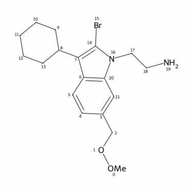 COOCc1ccc2c(C3CCCCC3)c(Br)n(CCN)c2c1